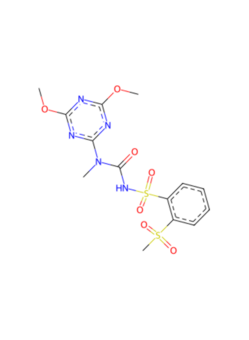 COc1nc(OC)nc(N(C)C(=O)NS(=O)(=O)c2ccccc2S(C)(=O)=O)n1